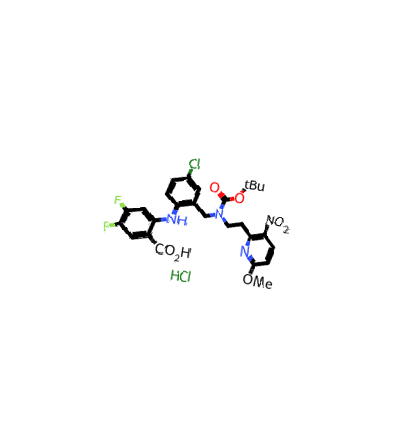 COc1ccc([N+](=O)[O-])c(CCN(Cc2cc(Cl)ccc2Nc2cc(F)c(F)cc2C(=O)O)C(=O)OC(C)(C)C)n1.Cl